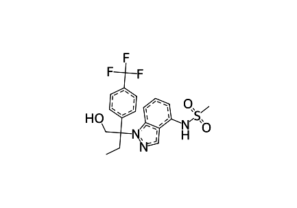 CCC(CO)(c1ccc(C(F)(F)F)cc1)n1ncc2c(NS(C)(=O)=O)cccc21